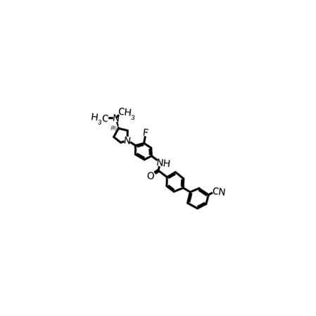 CN(C)[C@@H]1CCN(c2ccc(NC(=O)c3ccc(-c4cccc(C#N)c4)cc3)cc2F)C1